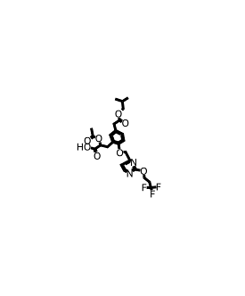 CC(=O)OC(Cc1cc(CC(=O)OCC(C)C)ccc1OCc1ccnc(OCCC(F)(F)F)n1)C(=O)O